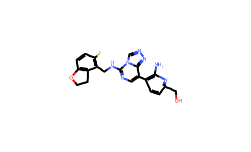 Nc1nc(CO)ccc1-c1cnc(NCc2c(F)ccc3c2CCO3)n2cnnc12